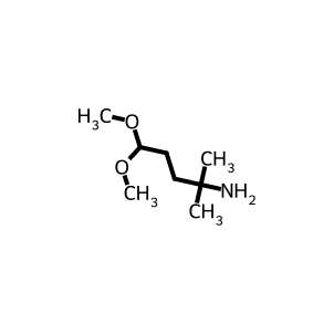 COC(CCC(C)(C)N)OC